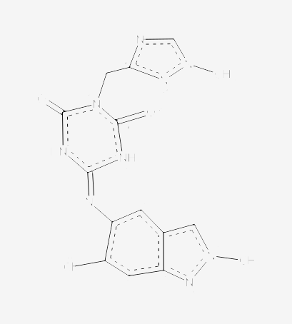 Cn1cnc(Cn2c(=O)[nH]c(=Nc3cc4cn(C)nc4cc3Cl)[nH]c2=O)n1